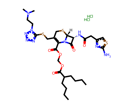 CCCCC(CCCC)C(=O)OCOC(=O)C1=C(CSc2nnnn2CCN(C)C)CS[C@@H]2[C@H](NC(=O)Cc3csc(N)n3)C(=O)N12.Cl.Cl